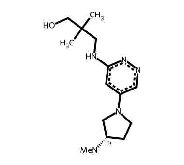 CN[C@H]1CCN(c2cnnc(NCC(C)(C)CO)c2)C1